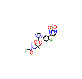 CC1(CNC(=O)CF)COC(c2nccn2-c2ccc(F)c(-c3ccnc(S(C)(=O)=O)n3)c2)OC1